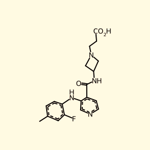 Cc1ccc(Nc2cnccc2C(=O)NC2CN(CCC(=O)O)C2)c(F)c1